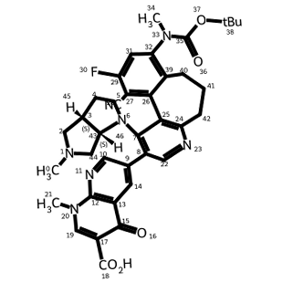 CN1C[C@@H]2CCN(c3c(-c4cnc5c(c4)c(=O)c(C(=O)O)cn5C)cnc4c3-c3c(C#N)c(F)cc(N(C)C(=O)OC(C)(C)C)c3CCC4)[C@@H]2C1